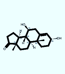 C[C@]12CC[C@@H](O)C=C1C[C@H](O)[C@@H]1[C@@H]2CC[C@]2(C)C(=O)CC[C@@H]12